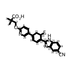 CC(C)(COc1ccc(C2=CC=C(c3nc4cc(C#N)ccc4[nH]3)C(F)C2)cn1)C(=O)O